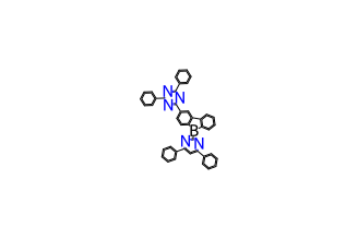 c1ccc(-c2cc(-c3ccccc3)nc(B3c4ccccc4-c4cc(-c5nc(-c6ccccc6)nc(-c6ccccc6)n5)ccc43)n2)cc1